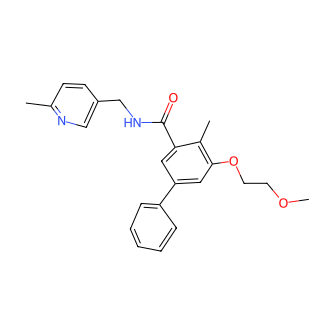 COCCOc1cc(-c2ccccc2)cc(C(=O)NCc2ccc(C)nc2)c1C